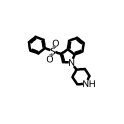 O=S(=O)(c1ccccc1)c1cn(C2CCNCC2)c2ccccc12